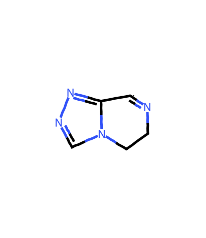 [C]1=NCCn2cnnc21